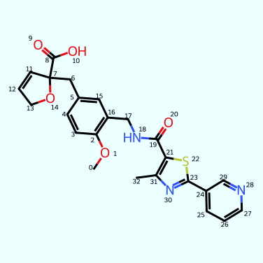 COc1ccc(CC2(C(=O)O)C=CCO2)cc1CNC(=O)c1sc(-c2cccnc2)nc1C